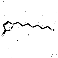 CCCCCCCCn1ccc(=O)s1